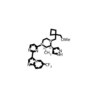 COCC1(CN2CCN(c3ccnc(-c4cnc5ccc(C(F)(F)F)cn45)n3)[C@@H](C)[C@@H]2c2cn[nH]c2)CCC1